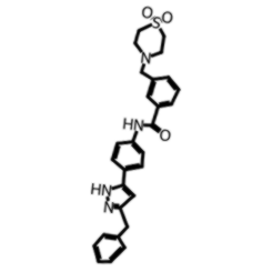 O=C(Nc1ccc(-c2cc(Cc3ccccc3)n[nH]2)cc1)c1cccc(CN2CCS(=O)(=O)CC2)c1